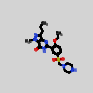 CCCc1nn(C)c2c(=O)[nH]c(-c3cc(S(=O)(=O)CN4CCNCC4)ccc3OCC)nc12